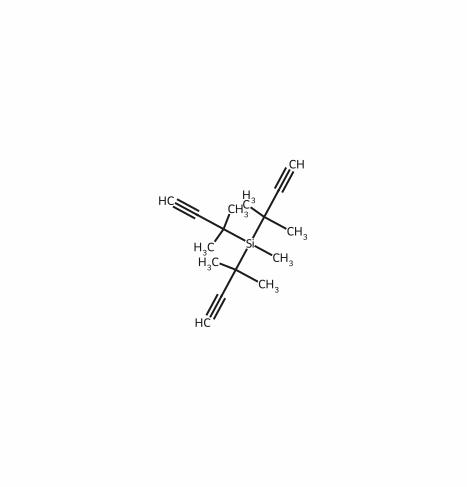 C#CC(C)(C)[Si](C)(C(C)(C)C#C)C(C)(C)C#C